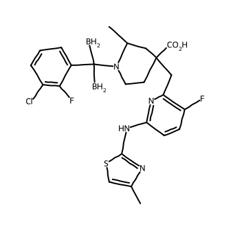 BC(B)(c1cccc(Cl)c1F)N1CCC(Cc2nc(Nc3nc(C)cs3)ccc2F)(C(=O)O)CC1C